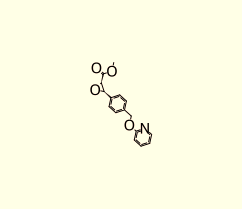 COC(=O)[C@@H]1O[C@@H]1c1ccc(COc2ccccn2)cc1